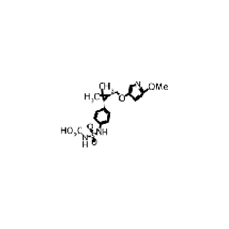 COc1ccc(OC[C@H]2[C@H](c3ccc(NS(=O)(=O)NC(=O)O)cc3)C2(C)C)cn1